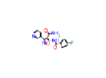 NC(=O)c1c(-c2cccnc2)noc1NC(=O)c1ccc(F)cc1